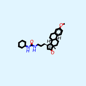 COc1ccc2c(c1)CC[C@H]1[C@@H]3[C@H](CCCNC(=O)NC4CCCCC4)CC(=O)[C@@]3(C)CC[C@H]21